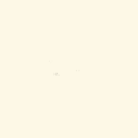 CCC1=C(C(C)(C)C)C(=O)Nc2ccccc2O1